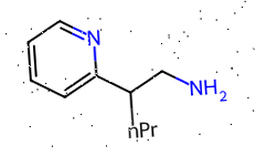 CCCC(CN)c1ccccn1